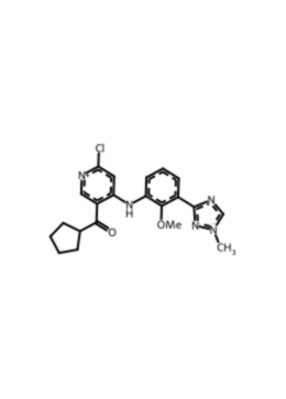 COc1c(Nc2cc(Cl)ncc2C(=O)C2CCCC2)cccc1-c1ncn(C)n1